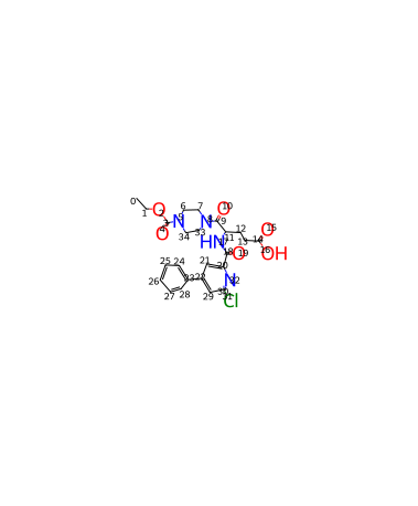 CCOC(=O)N1CCN(C(=O)C(CCC(=O)O)NC(=O)c2cc(-c3ccccc3)cc(Cl)n2)CC1